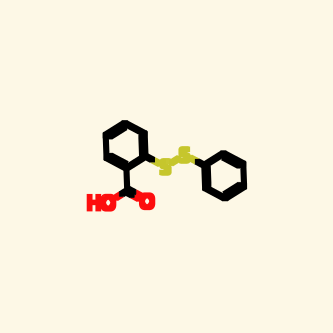 O=C(O)c1ccccc1SSc1ccccc1